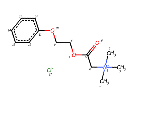 C[N+](C)(C)CC(=O)OCCOc1ccccc1.[Cl-]